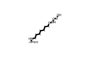 CCCCCNCCCCCCCONOOO